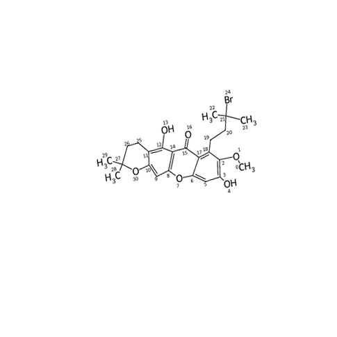 COc1c(O)cc2oc3cc4c(c(O)c3c(=O)c2c1CCC(C)(C)Br)CCC(C)(C)O4